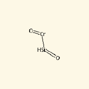 O=[SiH][Cr]=[O]